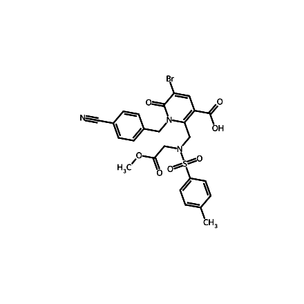 COC(=O)CN(Cc1c(C(=O)O)cc(Br)c(=O)n1Cc1ccc(C#N)cc1)S(=O)(=O)c1ccc(C)cc1